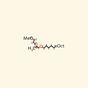 CCCCCCCCCCCCCOCC(C)OCCOC